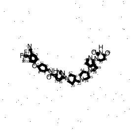 N#Cc1ccc(OC2CCC(NC(=O)c3ccc(N4CCC(CN5CCC(n6ccc7c(N8CCC(=O)NC8=O)nccc76)CC5)CC4)nn3)CC2)cc1C(F)(F)F